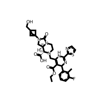 CCOC(=O)C1=C(CN2CCN3C(=O)N(C45CC(CO)(C4)C5)C[C@@H]3[C@H]2C(=O)O)NC(c2nccs2)=NC1c1cccc(F)c1C